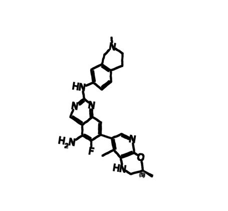 Cc1c(-c2cc3nc(Nc4ccc5c(c4)CN(C)CC5)ncc3c(N)c2F)cnc2c1NC[C@H](C)O2